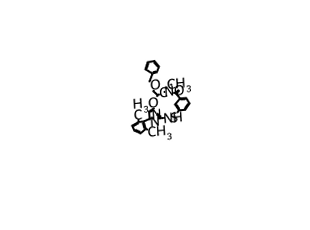 Cc1cccc(C)c1-c1cc2nc(n1)NSc1cccc(c1)C(=O)N(C)CC(COCc1ccccc1)O2